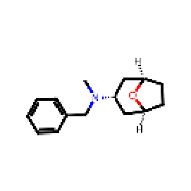 CN(Cc1ccccc1)[C@@H]1C[C@H]2CC[C@@H](C1)O2